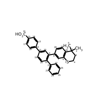 CC1(C)CCSc2cc(-c3cc(-c4ccc(C(=O)O)cc4)ccc3-c3ccccc3)ccc21